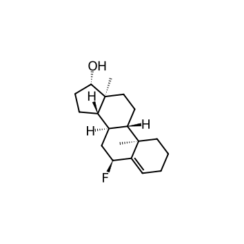 C[C@]12CC[C@H]3[C@@H](C[C@H](F)C4=CCCC[C@@]43C)[C@@H]1CC[C@@H]2O